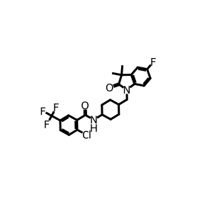 CC1(C)C(=O)N(CC2CCC(NC(=O)c3cc(C(F)(F)F)ccc3Cl)CC2)c2ccc(F)cc21